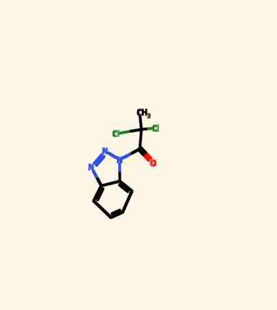 CC(Cl)(Cl)C(=O)n1nnc2ccccc21